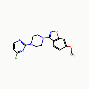 COc1ccc2c(N3CCN(c4nccc(Cl)n4)CC3)noc2c1